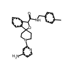 Cc1ccc(CNC(=O)C2OC3(CCN(c4cc(N)ccn4)CC3)c3ccccc32)cc1